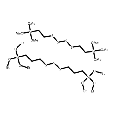 CCO[Si](CCCSSSCCC[Si](OCC)(OCC)OCC)(OCC)OCC.CO[Si](CCSSSSCC[Si](OC)(OC)OC)(OC)OC